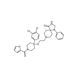 O=C(c1ccco1)N1CCC(OCCN2CCC3(CC2)C(=O)NCN3c2ccccc2)(c2ccc(Cl)c(Cl)c2)CC1